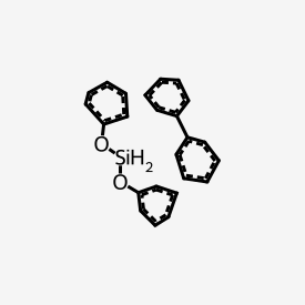 c1ccc(-c2ccccc2)cc1.c1ccc(O[SiH2]Oc2ccccc2)cc1